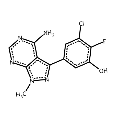 Cn1nc(-c2cc(O)c(F)c(Cl)c2)c2c(N)ncnc21